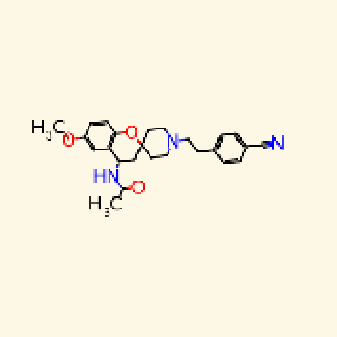 COc1ccc2c(c1)[C@@H](NC(C)=O)CC1(CCN(CCc3ccc(C#N)cc3)CC1)O2